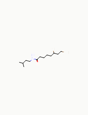 CC(C)CCNC(=O)CCCCC(S)CCS